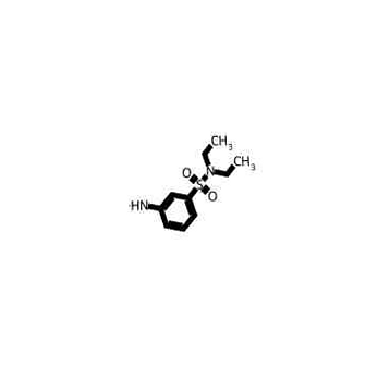 CCN(CC)S(=O)(=O)c1cccc([NH])c1